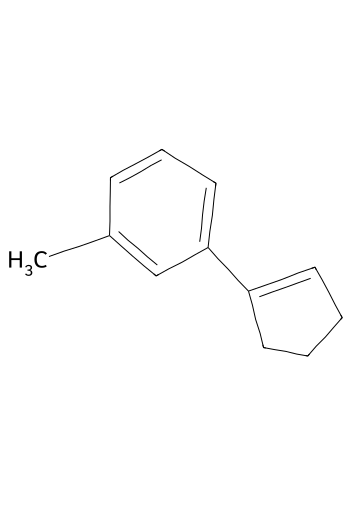 Cc1cccc(C2=CCCC2)c1